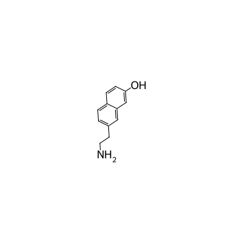 NCCc1ccc2ccc(O)cc2c1